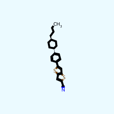 CCCC[C@H]1CC[C@H](c2ccc(-c3cc4sc(C#N)cc4s3)cc2)CC1